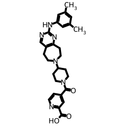 Cc1cc(C)cc(Nc2ncc3c(n2)CCN(C2CCN(C(=O)c4ccnc(C(=O)O)c4)CC2)CC3)c1